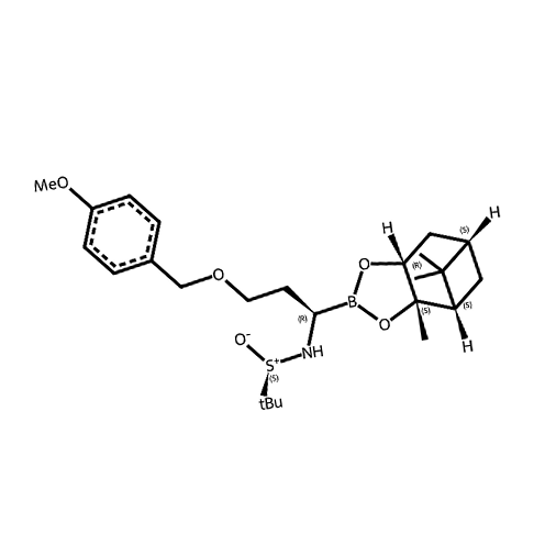 COc1ccc(COCC[C@H](N[S@+]([O-])C(C)(C)C)B2O[C@@H]3C[C@@H]4C[C@@H](C4(C)C)[C@]3(C)O2)cc1